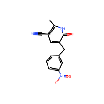 Cc1[nH]c(=O)c(Cc2cccc([N+](=O)[O-])c2)cc1C#N